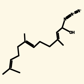 CC(C)=CCCC(C)=CCCC(C)=CC(O)N=[N+]=[N-]